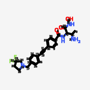 CC(N)C(NC(=O)c1ccc(C#Cc2ccc(CN3CCC(F)(F)C3)cc2)cc1)C(=O)NO